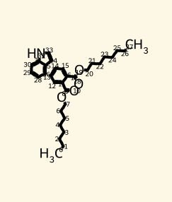 CCCCCCCCOC(=O)c1ccccc1C(=O)OCCCCCCCC.c1ccc2[nH]ccc2c1